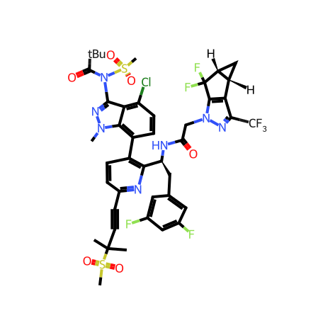 Cn1nc(N(C(=O)C(C)(C)C)S(C)(=O)=O)c2c(Cl)ccc(-c3ccc(C#CC(C)(C)S(C)(=O)=O)nc3[C@H](Cc3cc(F)cc(F)c3)NC(=O)Cn3nc(C(F)(F)F)c4c3C(F)(F)[C@@H]3C[C@H]43)c21